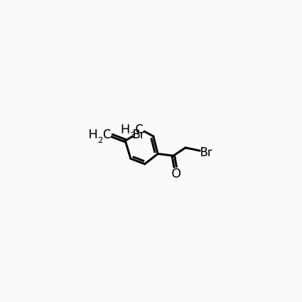 C=C(Br)/C=C\C(=C/C)C(=O)CBr